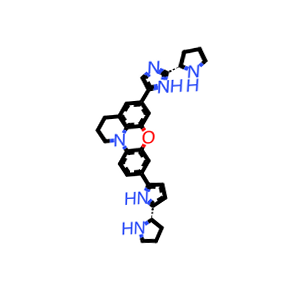 c1cc2c(cc1-c1ccc([C@@H]3CCCN3)[nH]1)Oc1cc(-c3cnc([C@@H]4CCCN4)[nH]3)cc3c1N2CCC3